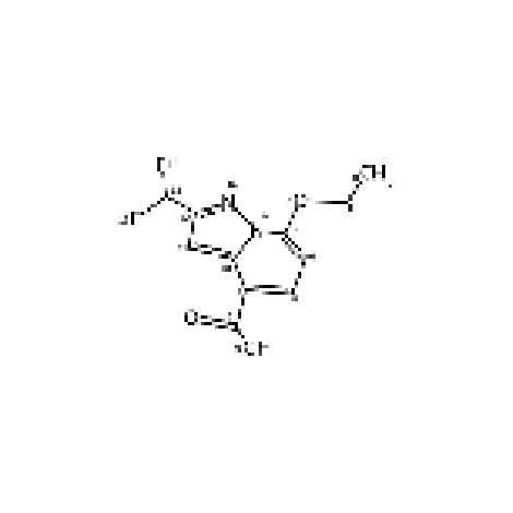 CCOc1ccc(C(=O)O)c2cc(C(F)F)nn12